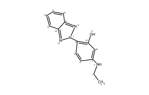 CCNc1ccc(-n2nc3ccccc3n2)c(O)c1